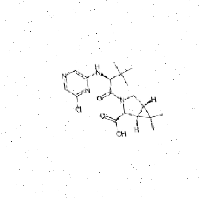 CC(C)(C)[C@H](Nc1cncc(Cl)n1)C(=O)N1C[C@H]2[C@@H]([C@H]1C(=O)O)C2(C)C